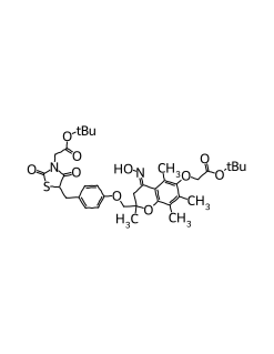 Cc1c(C)c2c(c(C)c1OCC(=O)OC(C)(C)C)/C(=N/O)CC(C)(COc1ccc(CC3SC(=O)N(CC(=O)OC(C)(C)C)C3=O)cc1)O2